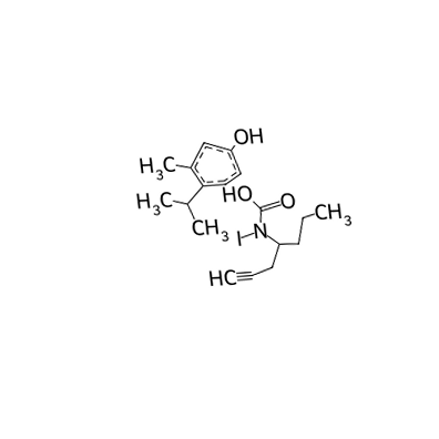 C#CCC(CCC)N(I)C(=O)O.Cc1cc(O)ccc1C(C)C